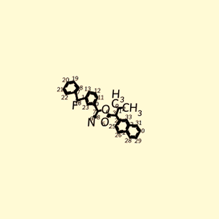 CC(C)C(C(=O)OC(C#N)c1cccc(C(F)c2ccccc2)c1)c1ccc2ccccc2c1